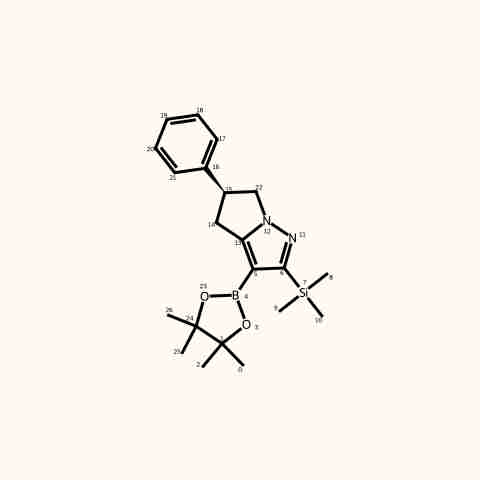 CC1(C)OB(c2c([Si](C)(C)C)nn3c2C[C@@H](c2ccccc2)C3)OC1(C)C